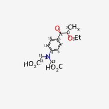 CCOC(C)C(=O)c1ccc(N(CC(=O)O)CC(=O)O)cc1